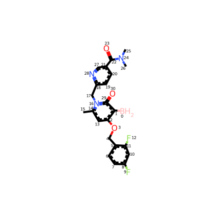 Bc1c(OCc2ccc(F)cc2F)cc(C)n(Cc2ccc(C(=O)N(C)C)cn2)c1=O